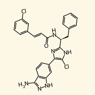 Nc1n[nH]c2cc(-c3nc([C@H](Cc4ccccc4)NC(=O)/C=C/c4cccc(Cl)c4)[nH]c3Cl)ccc12